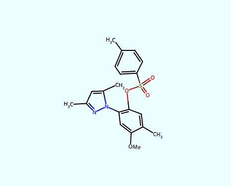 COc1cc(-n2nc(C)cc2C)c(OS(=O)(=O)c2ccc(C)cc2)cc1C